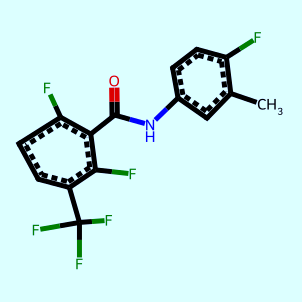 Cc1cc(NC(=O)c2c(F)ccc(C(F)(F)F)c2F)ccc1F